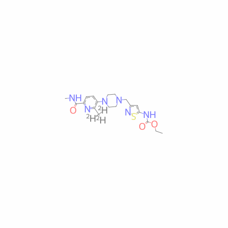 [2H]C([2H])([2H])c1nc(C(=O)NC)ccc1N1CCN(Cc2cc(NC(=O)OCC)sn2)CC1